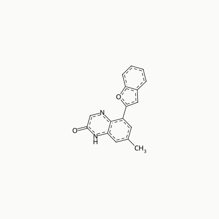 Cc1cc(-c2cc3ccccc3o2)c2ncc(=O)[nH]c2c1